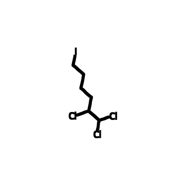 ClC(Cl)C(Cl)CCCCI